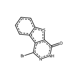 O=c1[nH]nc(Br)c2c1sc1ccccc12